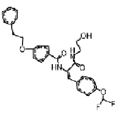 O=C(NCCO)/C(=C\c1ccc(OC(F)F)cc1)NC(=O)c1ccc(OCCc2ccccc2)cc1